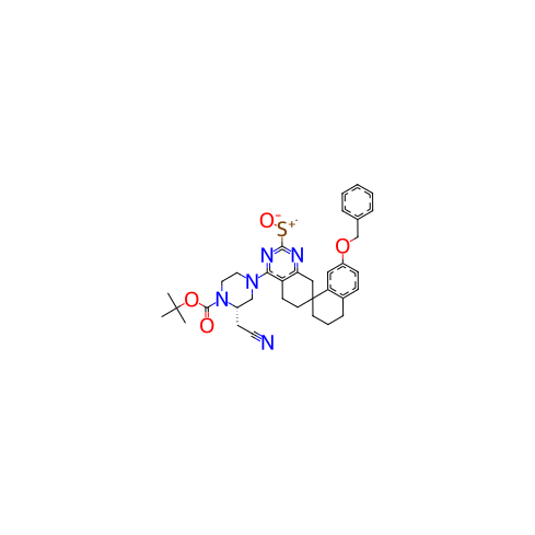 C[S+]([O-])c1nc2c(c(N3CCN(C(=O)OC(C)(C)C)[C@@H](CC#N)C3)n1)CCC1(CCCc3ccc(OCc4ccccc4)cc31)C2